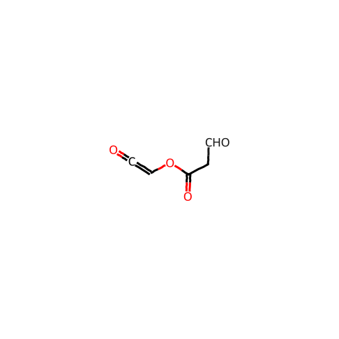 O=C=COC(=O)CC=O